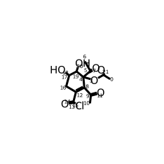 CC(=O)OC1(C(C)=O)C(C(C)=O)=C(C(=O)Cl)CC(O)C1O